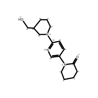 O=C1CCCCN1c1ccc(N2CCCC(CO)C2)nc1